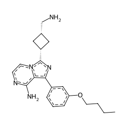 CCCCOc1cccc(-c2nc([C@H]3C[C@@H](CN)C3)n3ccnc(N)c23)c1